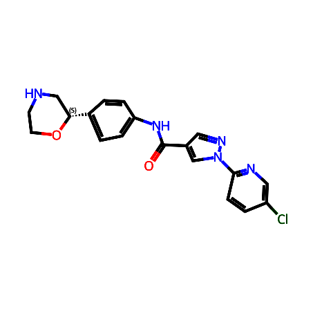 O=C(Nc1ccc([C@H]2CNCCO2)cc1)c1cnn(-c2ccc(Cl)cn2)c1